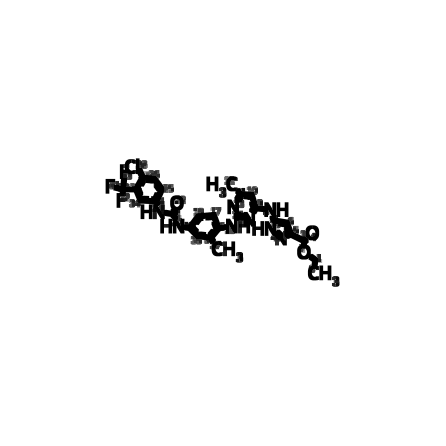 CCOC(=O)c1cc(Nc2cc(C)nc(Nc3ccc(NC(=O)Nc4ccc(Cl)c(C(F)(F)F)c4)cc3C)n2)[nH]n1